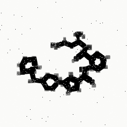 COC[C@H](C)NC(=O)c1cnccc1NC(=O)c1coc(N2CCC(Oc3ncccn3)CC2)n1